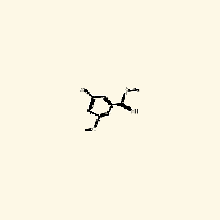 COc1cc(Cl)cc(C(=N)SC)c1